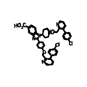 O=C(O)c1ccc2c(c1)nc(-c1ccc(OCc3ncccc3-c3ccc(Cl)cc3)cc1)n2C1CCCCC1.OCc1ncccc1-c1ccc(Cl)cc1